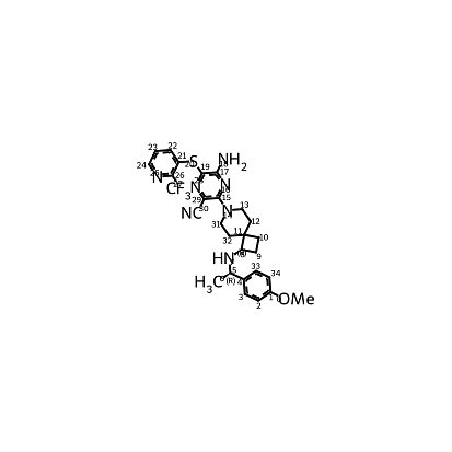 COc1ccc([C@@H](C)N[C@@H]2CCC23CCN(c2nc(N)c(Sc4cccnc4C(F)(F)F)nc2C#N)CC3)cc1